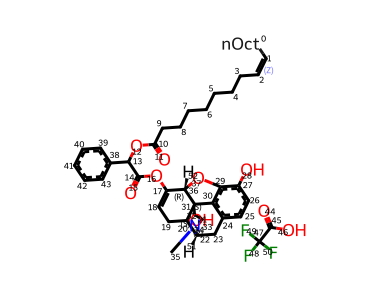 CCCCCCCC/C=C\CCCCCCCC(=O)OC(C(=O)OC1=CC[C@@]2(O)[C@H]3Cc4ccc(O)c5c4[C@@]2(CCN3C)[C@H]1O5)c1ccccc1.O=C(O)C(F)(F)F